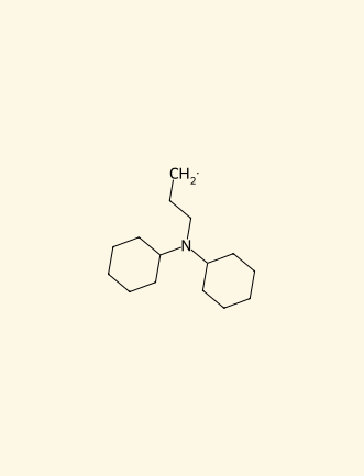 [CH2]CCN(C1CCCCC1)C1CCCCC1